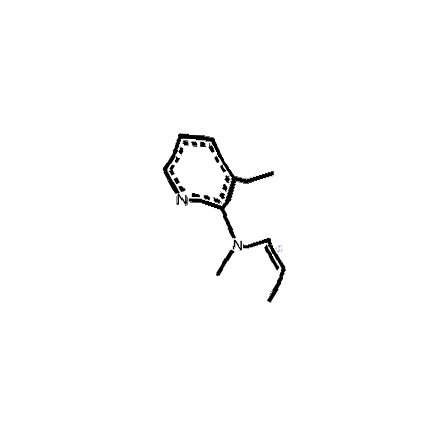 C/C=C\N(C)c1ncccc1C